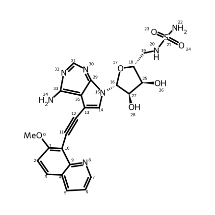 COc1ccc2cccnc2c1C#Cc1cn([C@@H]2O[C@H](CNS(N)(=O)=O)[C@@H](O)[C@H]2O)c2ncnc(N)c12